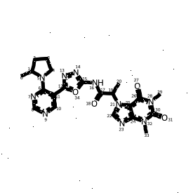 CC1CCCN1c1ncncc1-c1nnc(NC(=O)C(C)n2cnc3c2c(=O)n(C)c(=O)n3C)o1